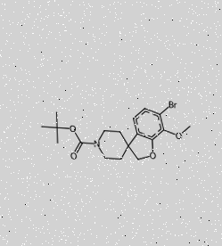 COc1c(Br)ccc2c1OCC21CCN(C(=O)OC(C)(C)C)CC1